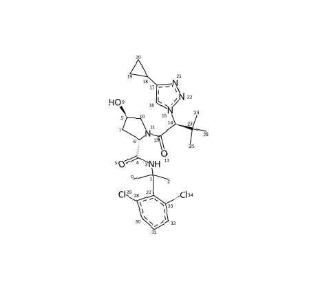 CC(C)(NC(=O)[C@@H]1C[C@@H](O)CN1C(=O)[C@@H](n1cc(C2CC2)nn1)C(C)(C)C)c1c(Cl)cccc1Cl